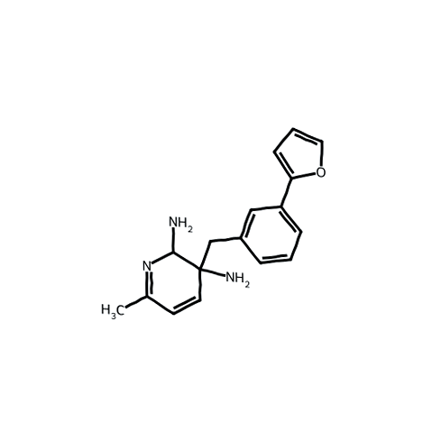 CC1=NC(N)C(N)(Cc2cccc(-c3ccco3)c2)C=C1